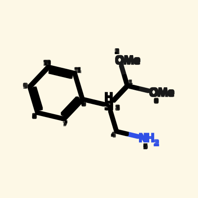 COC(OC)[SiH](CN)c1ccccc1